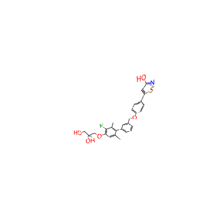 Cc1cc(OC[C@H](O)CO)c(F)c(C)c1-c1cccc(COc2ccc(-c3cc(O)ns3)cc2)c1